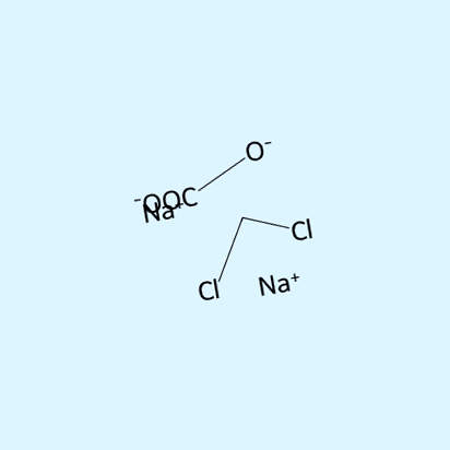 ClCCl.O=C([O-])[O-].[Na+].[Na+]